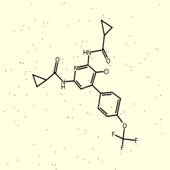 O=C(Nc1cc(-c2ccc(OC(F)(F)F)cc2)c(Cl)c(NC(=O)C2CC2)n1)C1CC1